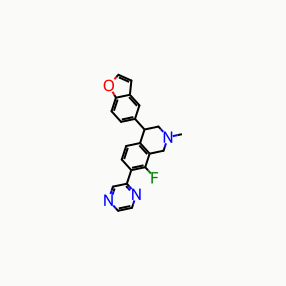 CN1Cc2c(ccc(-c3cnccn3)c2F)C(c2ccc3occc3c2)C1